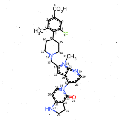 Cc1cc(C(=O)O)cc(F)c1C1CCN(Cc2cc3c(-n4ccc5c(c4=O)CCN5)ccnc3n2C)CC1